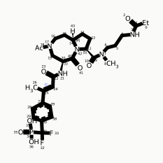 CCC(=O)NCCCN(C)C(=O)[C@@H]1CC[C@@H]2CCN(C(C)=O)C[C@H](NC(=O)/C=C(\C)c3ccc(C(F)(F)P(=O)(O)O)cc3)C(=O)N21